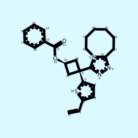 C=Cc1ccc([C@]2(c3nnc4n3CCCCCC4)C[C@H](OC(=O)c3ccccc3)C2)s1